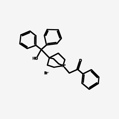 O=C(C[N+]12CCC(C(O)(c3ccccc3)c3ccccc3)(CC1)CC2)c1ccccc1.[Br-]